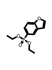 CCOP(=O)(OCC)c1ccc2occc2c1